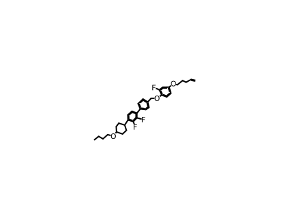 C=CCCCOc1ccc(OCc2ccc(-c3ccc(C4CCC(OCCCC)CC4)c(F)c3F)cc2)c(F)c1